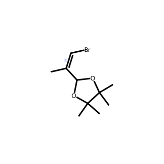 C/C(=C/Br)C1OC(C)(C)C(C)(C)O1